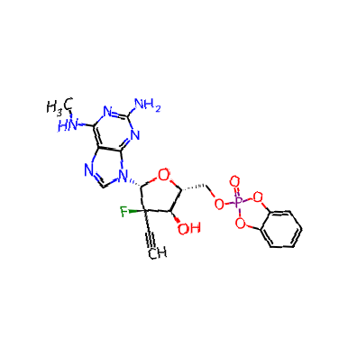 C#C[C@@]1(F)[C@H](O)[C@@H](COP2(=O)Oc3ccccc3O2)O[C@H]1n1cnc2c(NC)nc(N)nc21